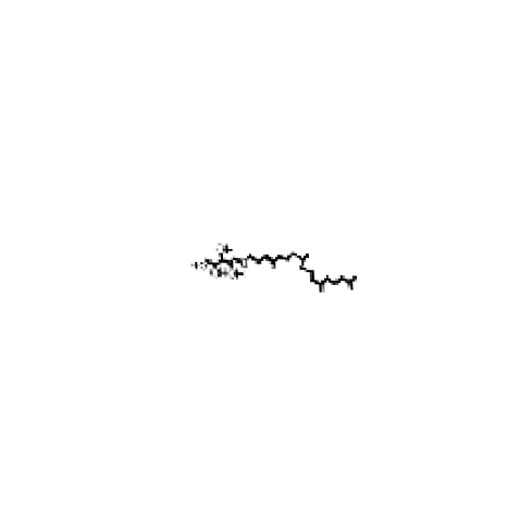 C/C(=C\CCOCC(O)C(O)C(O)CO)CCCC(C)CCCC(C)CCCC(C)C